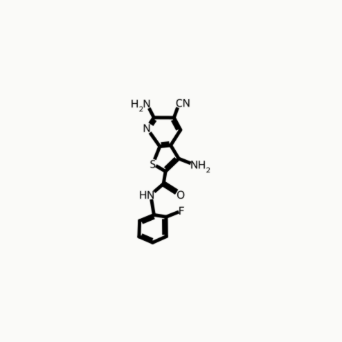 N#Cc1cc2c(N)c(C(=O)Nc3ccccc3F)sc2nc1N